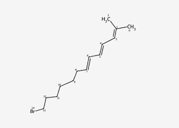 CC(C)=CC=CC=CCCCCCCBr